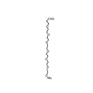 CCCCOCCOCCOCCOCCOCCOCCOCCC=O